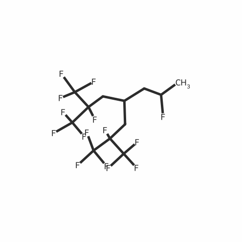 CC(F)CC(CC(F)(C(F)(F)F)C(F)(F)F)CC(F)(C(F)(F)F)C(F)(F)F